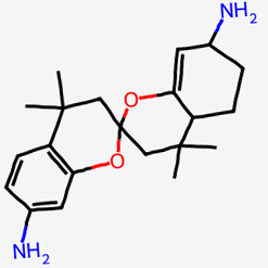 CC1(C)CC2(CC(C)(C)C3CCC(N)C=C3O2)Oc2cc(N)ccc21